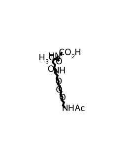 CC(=O)NCCCOCCOCCOCCCNC(=O)CC[C@H](C)C(=O)NCC(=O)O